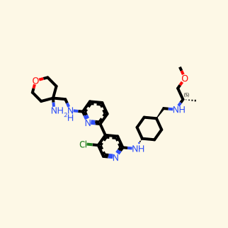 COC[C@H](C)NC[C@H]1CC[C@H](Nc2cc(-c3cccc(NCC4(N)CCOCC4)n3)c(Cl)cn2)CC1